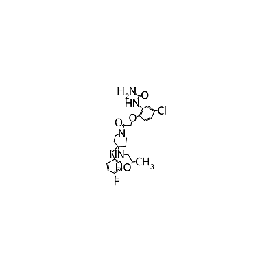 CC(O)CNC1(Cc2ccc(F)cc2)CCN(C(=O)COc2ccc(Cl)cc2NC(N)=O)CC1